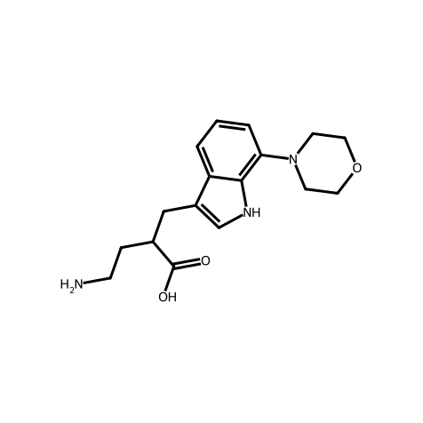 NCCC(Cc1c[nH]c2c(N3CCOCC3)cccc12)C(=O)O